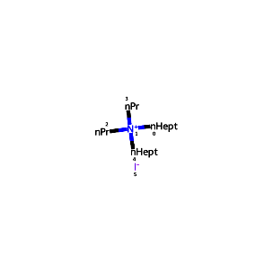 CCCCCCC[N+](CCC)(CCC)CCCCCCC.[I-]